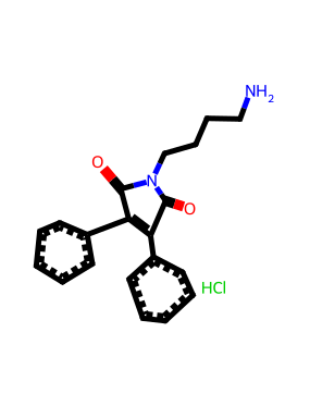 Cl.NCCCCN1C(=O)C(c2ccccc2)=C(c2ccccc2)C1=O